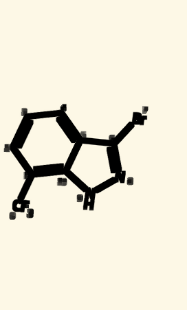 FC(F)(F)c1cccc2c(Br)n[nH]c12